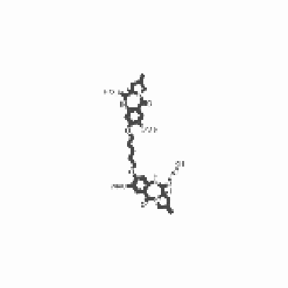 C=C1C[C@H]2C(OOOS)Nc3cc(OCCCCCOc4cc5c(cc4OC)C(=O)N4CC(=C)C[C@H]4C(S(=O)(=O)O)N5)c(OC)cc3C(=O)N2C1